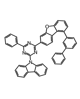 c1ccc(-c2cccc(-c3cccc4oc5cc(-c6nc(-c7ccccc7)nc(-n7c8ccccc8c8ccccc87)n6)ccc5c34)c2)cc1